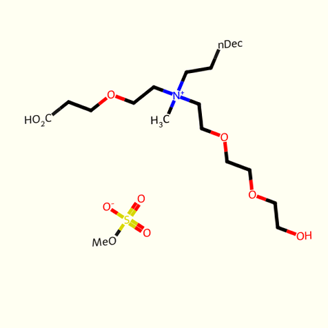 CCCCCCCCCCCC[N+](C)(CCOCCOCCO)CCOCCC(=O)O.COS(=O)(=O)[O-]